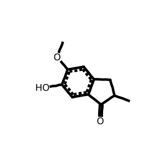 COc1cc2c(cc1O)C(=O)C(C)C2